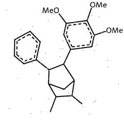 COc1cc(C2C3CC(C(C)C3C)C2c2ccccc2)cc(OC)c1OC